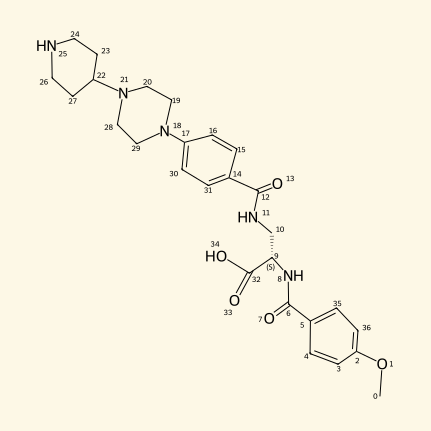 COc1ccc(C(=O)N[C@@H](CNC(=O)c2ccc(N3CCN(C4CCNCC4)CC3)cc2)C(=O)O)cc1